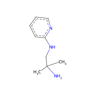 CC(C)(N)CNc1cc[c]cn1